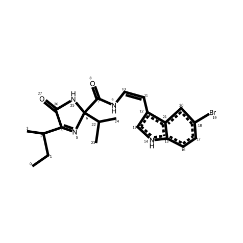 CCC(C)C1=NC(C(=O)N/C=C\c2c[nH]c3ccc(Br)cc23)(C(C)C)NC1=O